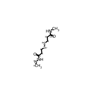 C=NNC(=O)CCSSCCC(=O)NC